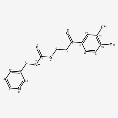 O=C(CCSC(=S)NCc1cccnc1)c1ccc(F)c(F)c1